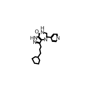 O=C1NCC(c2ccncc2)=Nc2c(CCCC3CCCCC3)n[nH]c21